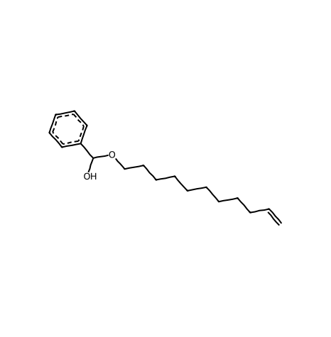 C=CCCCCCCCCCOC(O)c1ccccc1